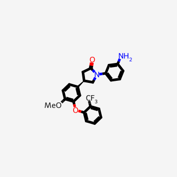 COc1ccc([C@H]2CC(=O)N(c3cccc(N)c3)C2)cc1Oc1ccccc1C(F)(F)F